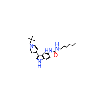 CCCC=CCNC(=O)Nc1ccc2[nH]cc(C3C=CN(CC(C)(C)C)CC3)c2c1